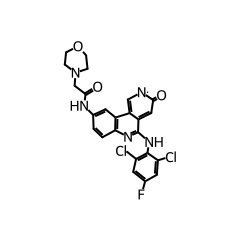 O=C1C=c2c(Nc3c(Cl)cc(F)cc3Cl)nc3ccc(NC(=O)CN4CCOCC4)cc3c2=C[N]1